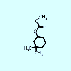 COC(=O)OC1CCCC(C)(C)C1